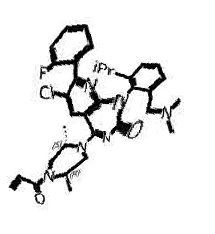 C=CC(=O)N1C[C@H](C)N(c2nc(=O)n(-c3c(CN(C)C)cccc3C(C)C)c3nc(-c4ccccc4F)c(Cl)cc23)C[C@H]1C